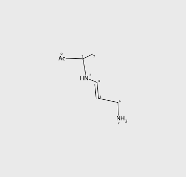 CC(=O)C(C)N/C=C/CN